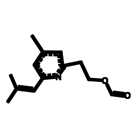 CC(C)=Cc1cc(C)cc(CCOC=O)n1